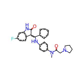 CN(C(=O)CN1CCCC1)c1ccc(NC(=C2C(=O)Nc3cc(F)ccc32)c2ccccc2)cc1